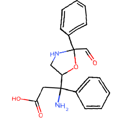 NC(CC(=O)O)(c1ccccc1)C1CNC(C=O)(c2ccccc2)O1